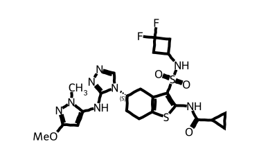 COc1cc(Nc2nncn2[C@H]2CCc3sc(NC(=O)C4CC4)c(S(=O)(=O)NC4CC(F)(F)C4)c3C2)n(C)n1